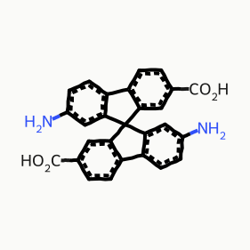 Nc1ccc2c(c1)C1(c3cc(N)ccc3-c3ccc(C(=O)O)cc31)c1cc(C(=O)O)ccc1-2